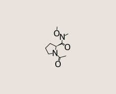 CON(C)C(=O)[C@@H]1CCCN1C(C)=O